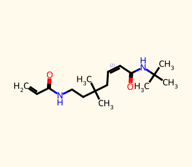 C=CC(=O)NCCC(C)(C)C/C=C\C(=O)NC(C)(C)C